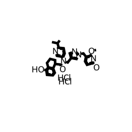 COc1ccc(Cn2cc(CN(C(=O)C3CCCc4c(O)cccc43)c3ccc(C(C)C)nc3)cn2)c(OC)n1.Cl.Cl